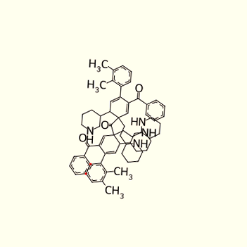 Cc1cccc(C2=CC(C3CCCNC3)C(CCC3CCCCN3)(C(=O)C3(CCC4CCCCN4)C=C(C(=O)c4ccccc4)C(c4cccc(C)c4C)=CC3C3CCCNC3)C=C2C(=O)c2ccccc2)c1C